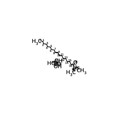 CCCCCCCCC=CCCCCCCCC(=O)N(CC)CC.O=P(O)(O)O